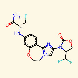 NC(=O)[C@H](CF)Nc1ccc2c(c1)OCCn1cc(N3C(=O)OCC3C(F)F)nc1-2